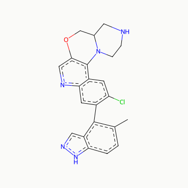 Cc1ccc2[nH]ncc2c1-c1cc2ncc3c(c2cc1Cl)N1CCNCC1CO3